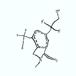 CN1Cc2c(cc(C(F)(F)CO)cc2C(F)(F)F)C1=O